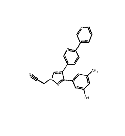 Cc1cc(O)cc(-c2nn(CC#N)cc2-c2ccc(-c3cccnc3)nc2)c1